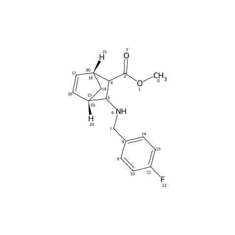 COC(=O)C1C(NCc2ccc(F)cc2)[C@@H]2C=C[C@H]1C2